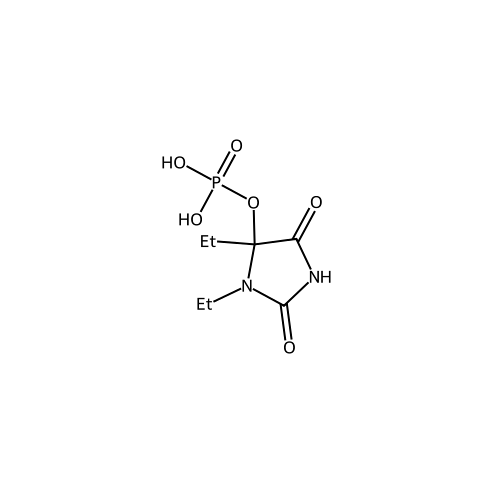 CCN1C(=O)NC(=O)C1(CC)OP(=O)(O)O